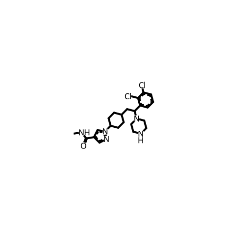 CNC(=O)c1cnn(C2CCC(CC(c3cccc(Cl)c3Cl)N3CCNCC3)CC2)c1